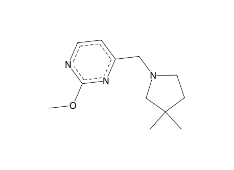 COc1nccc(CN2CCC(C)(C)C2)n1